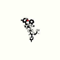 COc1cccc(OC)c1-n1c(NS(=O)(=O)[C@H](C)[C@@H](OC[C@@H](C)O)c2ncc(C)cn2)nnc1-c1cncc(C)c1